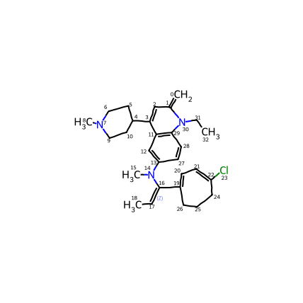 C=C1C=C(C2CCN(C)CC2)c2cc(N(C)/C(=C\C)C3=CC=C(Cl)CCC3)ccc2N1CC